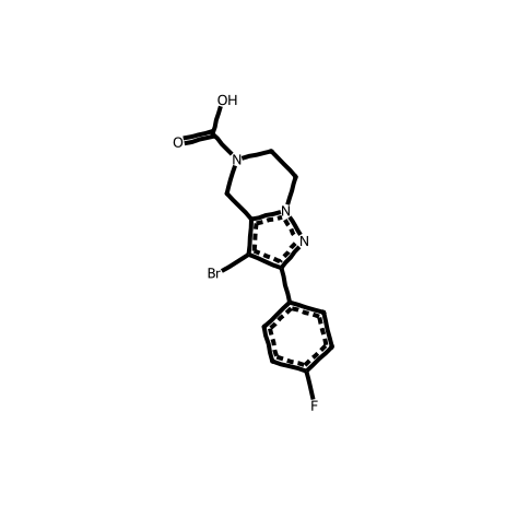 O=C(O)N1CCn2nc(-c3ccc(F)cc3)c(Br)c2C1